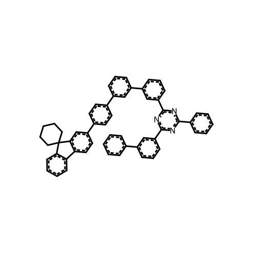 c1ccc(-c2cccc(-c3nc(-c4ccccc4)nc(-c4cccc(-c5cccc(-c6ccc(-c7ccc8c(c7)C7(CCCCC7)c7ccccc7-8)cc6)c5)c4)n3)c2)cc1